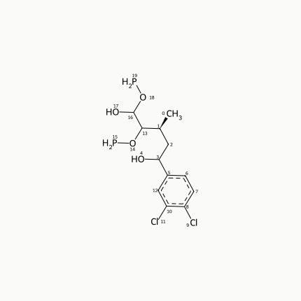 C[C@@H](CC(O)c1ccc(Cl)c(Cl)c1)C(OP)C(O)OP